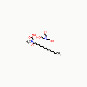 CCCCCCCCCCCCCC(=O)N(C)CC(=O)O.OCCN(CCO)CCO